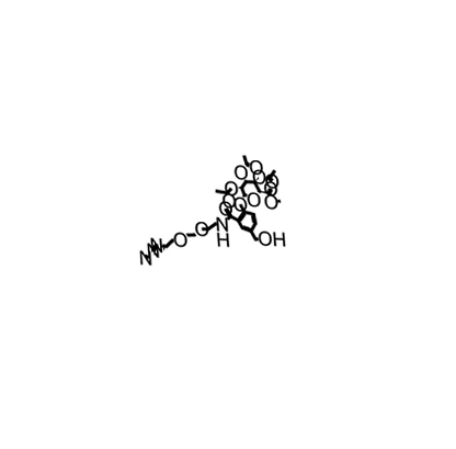 COC(=O)[C@H]1O[C@@H](Oc2ccc(CO)cc2C(=O)NCCOCCOCCN=[N+]=[N-])[C@H](OC(C)=O)[C@@H](OC(C)=O)[C@@H]1OC(C)=O